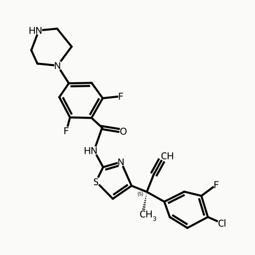 C#C[C@@](C)(c1ccc(Cl)c(F)c1)c1csc(NC(=O)c2c(F)cc(N3CCNCC3)cc2F)n1